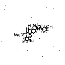 CNCC(NC(=O)c1ccc(-c2nc([C@@H]3CCC[C@H](O)C3)cnc2N)cc1F)c1cc(F)cc(Br)c1